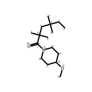 CCC(C)(C)CC(C)(C)C(=O)N1CCC(OC)CC1